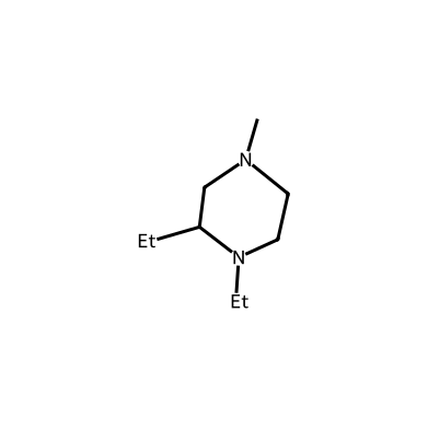 CCC1CN(C)CCN1CC